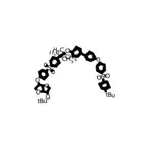 CC(C)(C)OC1COC2C(Oc3ccc(S(=O)(=O)c4ccc(C(C)(C)C(C)(C)Oc5ccc(-c6ccc(Oc7ccc(S(=O)(=O)c8ccc(C(C)(C)C)cc8)cc7)cc6)cc5)cc4)cc3)COC12